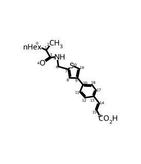 CCCCCCC(C)C(=O)NCc1cc(-c2ccc(C=CC(=O)O)cc2)cs1